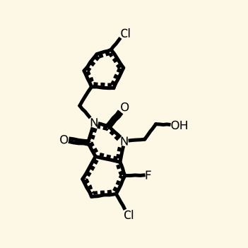 O=c1c2ccc(Cl)c(F)c2n(CCO)c(=O)n1Cc1ccc(Cl)cc1